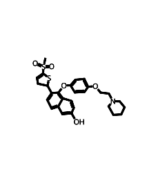 CS(=O)(=O)C1=CCC(c2ccc3cc(O)ccc3c2Oc2ccc(OCCN3CCCCC3)cc2)S1